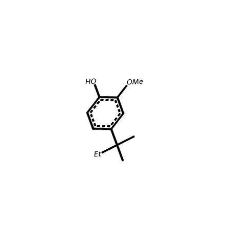 CCC(C)(C)c1ccc(O)c(OC)c1